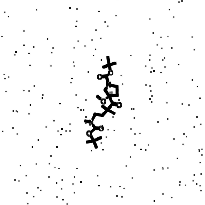 CO[C@@]1(C(=O)C(C)(C)CCN(C)C(=O)OC(C)(C)C)CCN(C(=O)OC(C)(C)C)C1